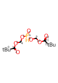 CC(C)(C)C(=O)OCO[PH](=O)OCOC(=O)C(C)(C)C